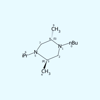 CCCCN1C[C@@H](C)N(C(C)C)C[C@@H]1C